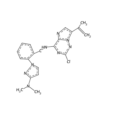 C=C(C)c1cnc2c(NCc3ccccc3-n3ccc(N(C)C)n3)nc(Cl)nn12